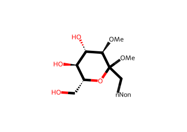 CCCCCCCCCCC1(OC)O[C@H](CO)[C@@H](O)[C@H](O)[C@H]1OC